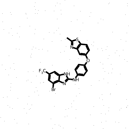 Cc1nc2cc(Oc3ccc(Nc4nc5c(Br)cc(C(F)(F)F)cc5[nH]4)cc3)ccc2s1